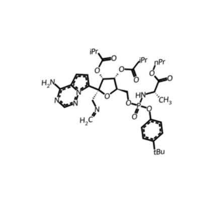 C=NC[C@@]1(c2ccc3c(N)ncnn23)O[C@H](COP(=O)(N[C@@H](C)C(=O)OCCC)Oc2ccc(C(C)(C)C)cc2)[C@@H](OC(=O)C(C)C)[C@H]1OC(=O)C(C)C